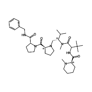 CC(C)[C@@H](CN1CCC[C@H]1C(=O)N1CCCC1C(=O)NCc1ccccc1)N(C)C(=O)C(NC(=O)[C@H]1CCCCN1C)C(C)(C)C